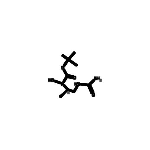 C[C@H](CNC(N)=O)N(O)C(=O)OC(C)(C)C